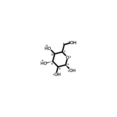 OCC1O[C@@H](O)C(O)[C@H](O)C1O